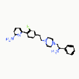 Nc1cccc(-c2ccc(CCN3CCN(CC(N)c4ccccc4)CC3)cc2F)n1